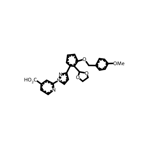 COc1ccc(COc2cccc(-c3ccn(-c4cc(C(=O)O)ccn4)n3)c2C2OCCO2)cc1